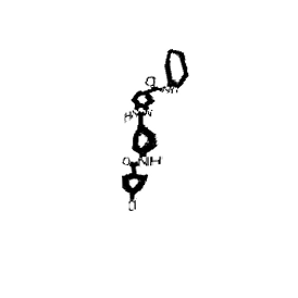 O=C(Nc1ccc(-c2nc3cc(C(=O)NC4CCCCC4)ccc3[nH]2)cc1)c1ccc(Cl)cc1